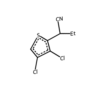 CCC(C#N)c1scc(Cl)c1Cl